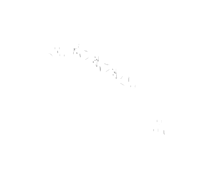 C=CC(=O)OCCCCCCCCCOc1ccc(N=Nc2ccc(N=Nc3ccc(N(CC)CCOC(=O)C=C)cc3C)cc2)cc1